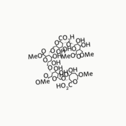 COC[C@H]1C(C(=O)OC)O[C@H](COC[C@H]2C(C(=O)O)O[C@H](COC[C@H]3C(C(=O)OC)O[C@H](COC[C@H]4C(C(=O)OC)O[C@H](COC[C@H]5C(C(=O)O)OCC(OC)CC(O)C5O)C(O)C4O)C(O)C3O)C(O)C2O)C(O)C1O